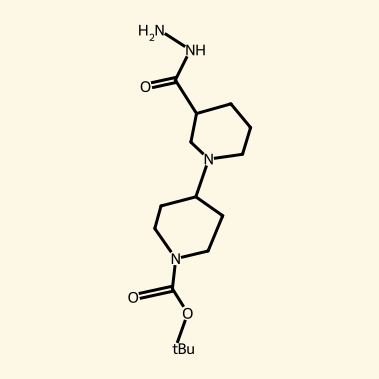 CC(C)(C)OC(=O)N1CCC(N2CCCC(C(=O)NN)C2)CC1